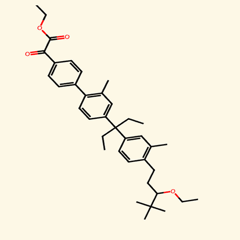 CCOC(=O)C(=O)c1ccc(-c2ccc(C(CC)(CC)c3ccc(CCC(OCC)C(C)(C)C)c(C)c3)cc2C)cc1